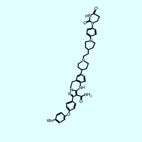 CC(C)(C)c1ccc(Oc2ccc(-c3nn4c(c3C(N)=O)Nc3ccc(C5CCN(CCC6CCN(c7ccc(N8CCC(=O)NC8=O)cc7)CC6)CC5)cc3CC4)cc2)cc1